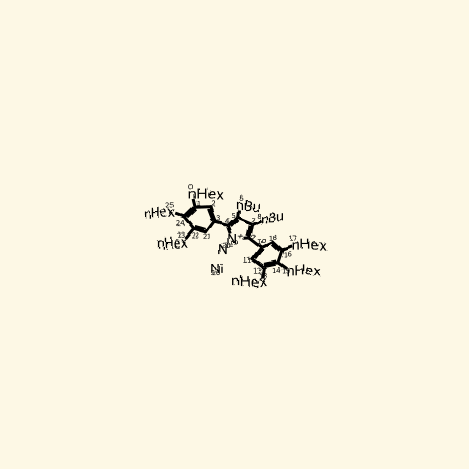 CCCCCCc1cc(C2=C(CCCC)C(CCCC)=C(c3cc(CCCCCC)c(CCCCCC)c(CCCCCC)c3)[N+]2=[N-])cc(CCCCCC)c1CCCCCC.[Ni]